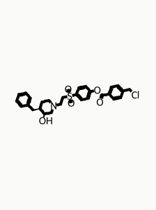 O=C(Oc1ccc(S(=O)(=O)CCN2CC[C@H](Cc3ccccc3)[C@H](O)C2)cc1)c1ccc(CCl)cc1